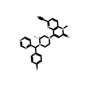 C[C@@H]1CN(c2cc(=O)n(C)c3ccc(C#N)nc23)CCN1C(c1ccc(F)cc1)c1ccncn1